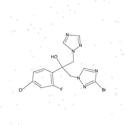 OC(Cn1cncn1)(Cn1cnc(Br)n1)c1ccc(Cl)cc1F